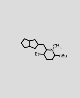 CCCCC1CCC(CC)C(CC2CC3CCCC3C2)N1C